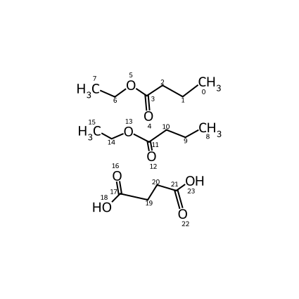 CCCC(=O)OCC.CCCC(=O)OCC.O=C(O)CCC(=O)O